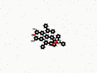 CC(C)(C)c1cc(-c2ccc3c(c2)B2c4cc(-c5cc(C(C)(C)C)cc(C(C)(C)C)c5)ccc4N(c4cc(-c5ccccc5)cc(-c5ccccc5)c4)c4cc(-c5ccc6c(c5)c5ccccc5n6-c5ccccc5-c5nc(-c6ccccc6)nc(-c6ccccc6)n5)cc(c42)N3c2cc(-c3ccccc3)cc(-c3ccccc3)c2)cc(C(C)(C)C)c1